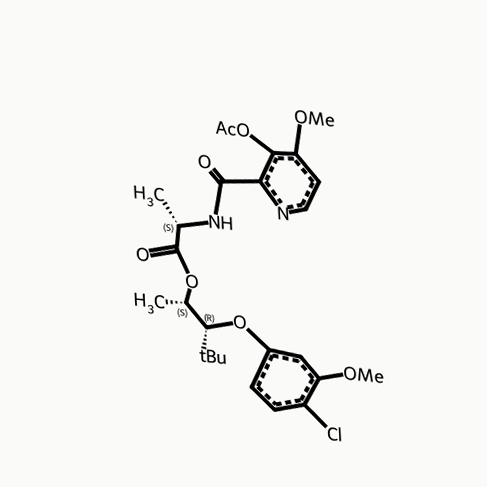 COc1cc(O[C@@H]([C@H](C)OC(=O)[C@H](C)NC(=O)c2nccc(OC)c2OC(C)=O)C(C)(C)C)ccc1Cl